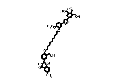 COc1ccc(C2CC(c3cc(CO)c(CO)c(CO)c3)=NO2)cc1OCCCCCCCCCCOc1ccc(C2NC(=O)c3cc(C)ccc3N2)cc1CO